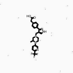 CC1CN(Cc2c[nH]nc2-c2ccc(CC(=O)O)cc2)CCN1c1ccc(C(F)(F)F)nc1